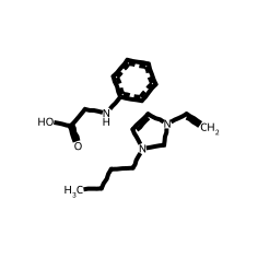 C=CN1C=CN(CCCC)C1.O=C(O)CNc1ccccc1